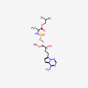 CCC(CC)COC(=O)[C@H](C)N[PH](=O)OC[C@@H](OC#N)[C@@H](O)CCc1ccc2c(N)ncnn12